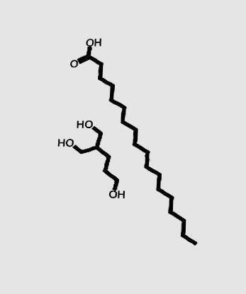 CCCCCCCCCCCCCCCCCC(=O)O.OCCCC(CO)CO